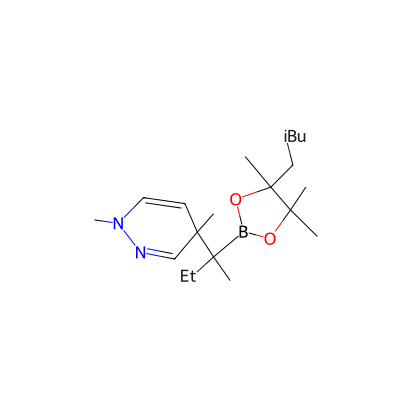 CCC(C)CC1(C)OB(C(C)(CC)C2(C)C=CN(C)N=C2)OC1(C)C